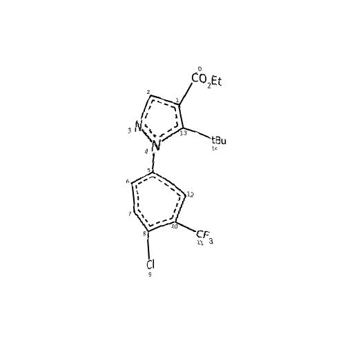 CCOC(=O)c1cnn(-c2ccc(Cl)c(C(F)(F)F)c2)c1C(C)(C)C